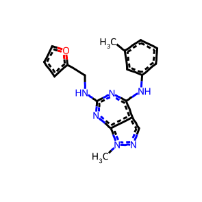 Cc1cccc(Nc2nc(NCc3ccco3)nc3c2cnn3C)c1